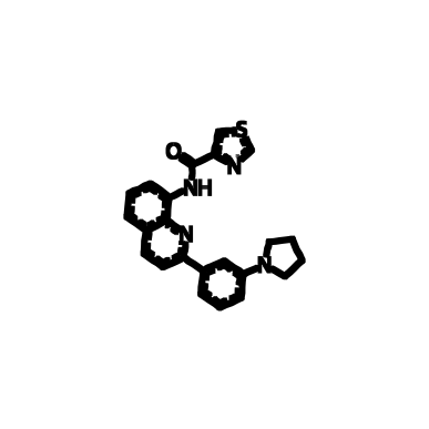 O=C(Nc1cccc2ccc(-c3cccc(N4CCCC4)c3)nc12)c1cscn1